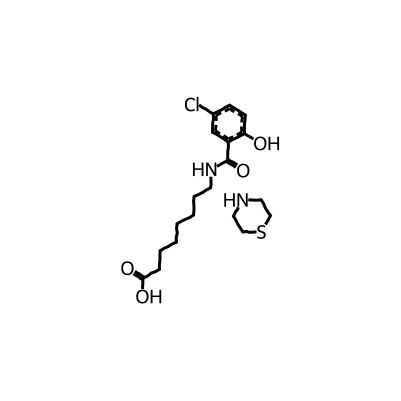 C1CSCCN1.O=C(O)CCCCCCCNC(=O)c1cc(Cl)ccc1O